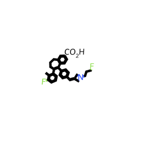 Cc1c(F)cccc1C1=C(c2ccc(C=C3CN(CCCF)C3)cc2)c2ccc(C(=O)O)cc2CCC1